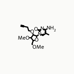 C#CCCOC1C(OC)C(COC)OC1n1cc(C)c(N)nc1=O